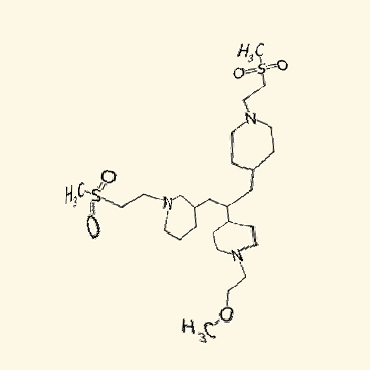 COCCN1CCC(C(CC2CCN(CCS(C)(=O)=O)CC2)CC2CCCN(CCS(C)(=O)=O)C2)CC1